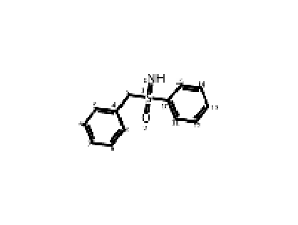 N=S(=O)(Cc1ccccc1)c1ccccc1